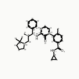 Cc1ccc(C(=O)NC2CC2)cc1-n1ccnc(N[C@@H](c2ccccc2)[C@H](C)CN2CCCC2(C)C)c1=O